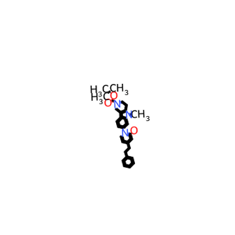 Cn1c2c(c3ccc(-n4ccc(CCc5ccccc5)cc4=O)cc31)CN(C(=O)OC(C)(C)C)CC2